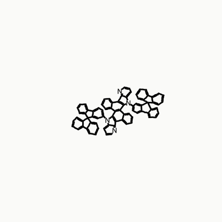 c1ccc2c(c1)-c1ccccc1C21c2ccccc2-c2ccc(-n3c4cccnc4c4c5ccccc5c5c(c6ccccc6c6c7ncccc7n(-c7ccc8c(c7)C7(c9ccccc9-c9ccccc97)c7ccccc7-8)c65)c43)cc21